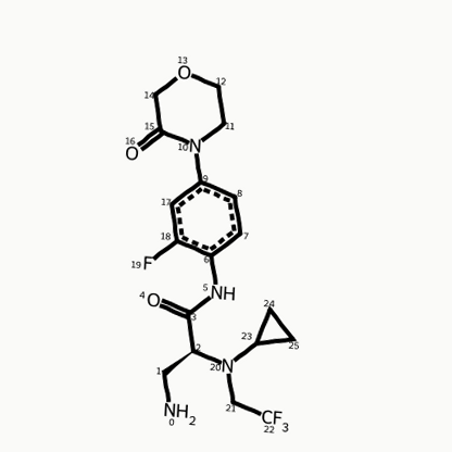 NC[C@@H](C(=O)Nc1ccc(N2CCOCC2=O)cc1F)N(CC(F)(F)F)C1CC1